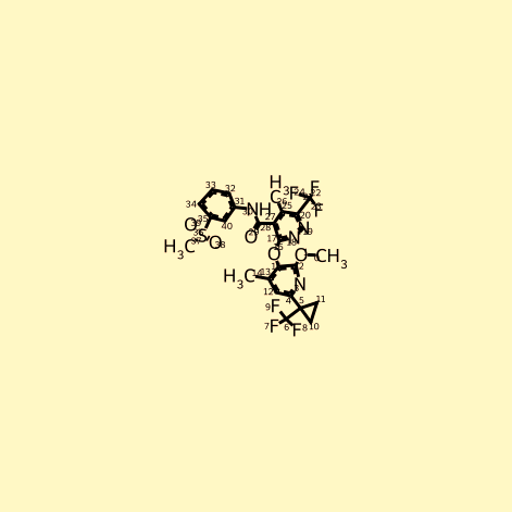 COc1nc(C2(C(F)(F)F)CC2)cc(C)c1Oc1nnc(C(F)(F)F)c(C)c1C(=O)Nc1cccc(S(C)(=O)=O)c1